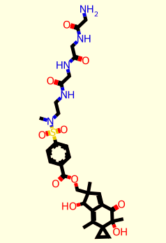 CC1=C2C(=CC(C)(COC(=O)c3ccc(S(=O)(=O)N(C)CCNC(=O)CNC(=O)CNC(=O)CN)cc3)C2O)C(=O)C(C)(O)C12CC2